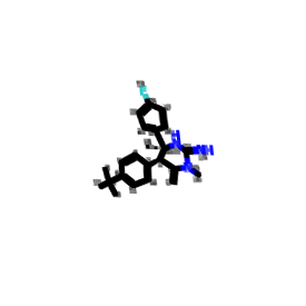 C=C1[C@@H](c2ccc(C(C)(C)C)cc2)[C@@](C)(c2ccc(F)cc2)NC(=N)N1C